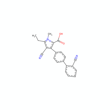 CCc1c(C#N)c(-c2ccc(-c3ccccc3C#N)cc2)c(C(=O)O)n1C